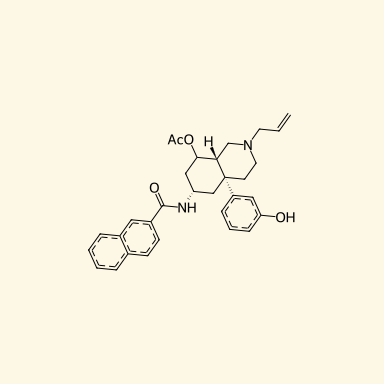 C=CCN1CC[C@@]2(c3cccc(O)c3)C[C@H](NC(=O)c3ccc4ccccc4c3)CC(OC(C)=O)[C@@H]2C1